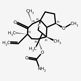 C=C[C@]1(C)C[C@@H](OC(N)=O)[C@]2(C)C(C)CC[C@]3(CC[C@@H](OC)C32)[C@@H](C)C1=O